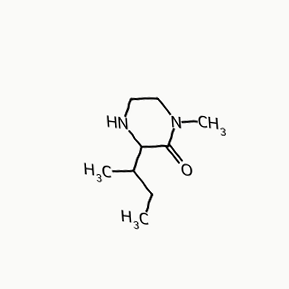 CCC(C)C1NCCN(C)C1=O